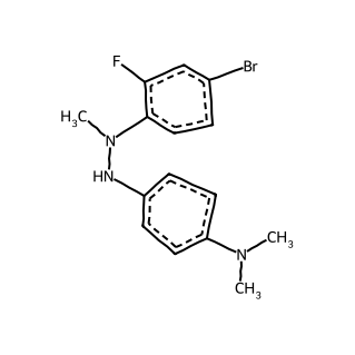 CN(C)c1ccc(NN(C)c2ccc(Br)cc2F)cc1